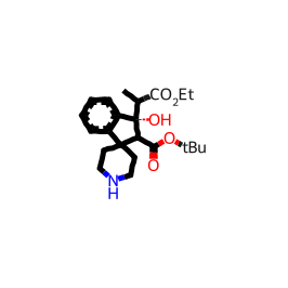 CCOC(=O)C(C)[C@]1(O)c2ccccc2C2(CCNCC2)C1C(=O)OC(C)(C)C